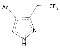 CC(=O)c1c[nH]nc1CC(F)(F)F